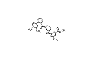 COC(=O)c1cc(C)nc(N[C@@H]2CCCN(C(=O)c3ccccc3-c3ccc(C)c(C)c3)C2)n1